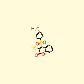 Cc1ccc(S(=O)(=O)c2c(S)c(=O)oc3ccccc23)cc1